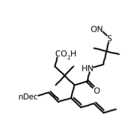 CC=CC=C(C=CCCCCCCCCCC)C(C(=O)NCC(C)(C)SN=O)C(C)(C)CC(=O)O